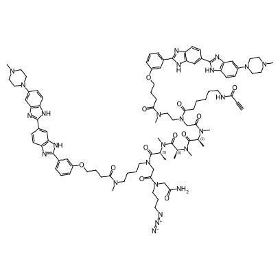 C#CC(=O)NCCCCCC(=O)N(CCN(C)C(=O)CCCOc1cccc(-c2nc3ccc(-c4nc5cc(N6CCN(C)CC6)ccc5[nH]4)cc3[nH]2)c1)CC(=O)N(C)[C@@H](C)C(=O)N(C)[C@@H](C)C(=O)N(C)[C@@H](C)C(=O)N(CCCCN(C)C(=O)CCCOc1cccc(-c2nc3ccc(-c4nc5cc(N6CCN(C)CC6)ccc5[nH]4)cc3[nH]2)c1)CC(=O)N(CCCN=[N+]=[N-])CC(N)=O